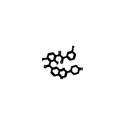 O=C(Nc1ccc(F)c(C(=O)c2ccc3ncc(N4CCNCC4)nc3c2)c1F)c1cccc(F)c1